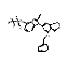 Cc1cc2c(OS(=O)(=O)C(F)(F)F)cccc2n1-c1nc2c(c(NCc3ccccc3)n1)COCC2